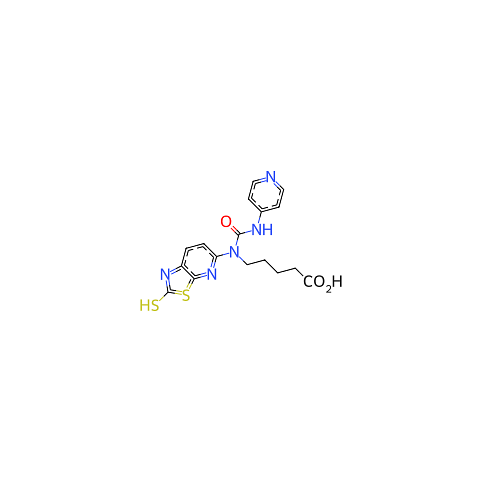 O=C(O)CCCCN(C(=O)Nc1ccncc1)c1ccc2nc(S)sc2n1